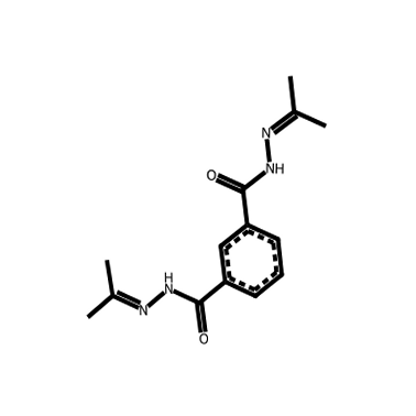 CC(C)=NNC(=O)c1cccc(C(=O)NN=C(C)C)c1